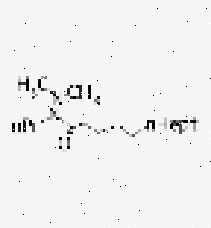 CCCCCCCCCCCC(=O)N(CCC)N(C)C